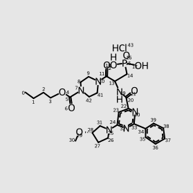 CCCCOC(=O)N1CCN(C(=O)C(CP(=O)(O)O)NC(=O)c2cc(N3CC[C@H](OC)C3)nc(-c3ccccc3)n2)CC1.Cl